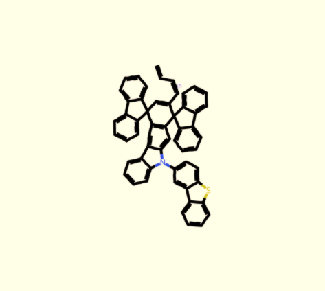 C=C/C=C\C1=CC2(c3ccccc3-c3ccccc32)c2cc3c4ccccc4n(-c4ccc5sc6ccccc6c5c4)c3cc2C12c1ccccc1-c1ccccc12